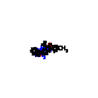 Cc1ccc(/C(=C/c2ccc(C(=O)Nc3ccccc3N)cc2)C(=O)NC2CC2)cc1